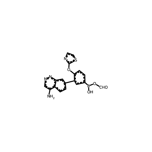 Nc1cnnc2cc(-c3cc(B(O)OC=O)ccc3Oc3nccs3)ccc12